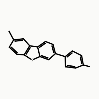 Cc1ccc(-c2ccc3c(c2)sc2ccc(C)cc23)cc1